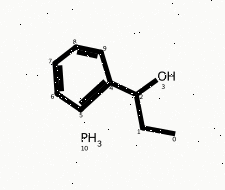 CCC(O)c1ccccc1.P